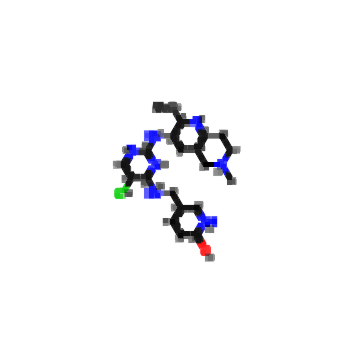 COc1nc2c(cc1Nc1ncc(Cl)c(NCc3ccc(=O)[nH]c3)n1)CN(C)CC2